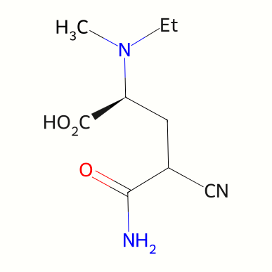 CCN(C)[C@@H](CC(C#N)C(N)=O)C(=O)O